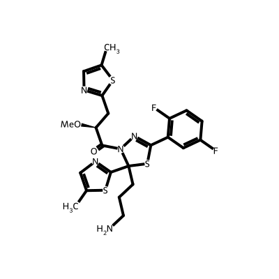 CO[C@@H](Cc1ncc(C)s1)C(=O)N1N=C(c2cc(F)ccc2F)SC1(CCCN)c1ncc(C)s1